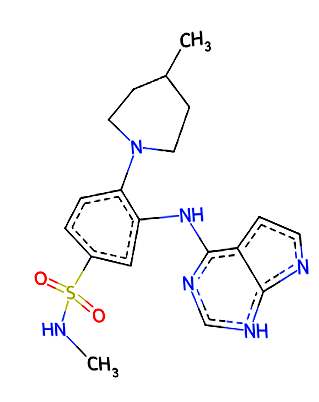 CNS(=O)(=O)c1ccc(N2CCC(C)CC2)c(Nc2nc[nH]c3nccc2-3)c1